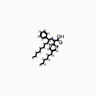 CCCCCCCCC(/C=C(/C(=O)O)c1ncc(CCCCCC)cn1)c1ccccc1